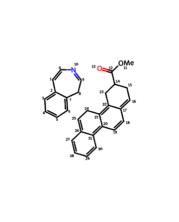 C1=Cc2ccccc2CC=N1.COC(=O)C1CC=c2ccc3c(c2C1)CC=c1ccccc1=3